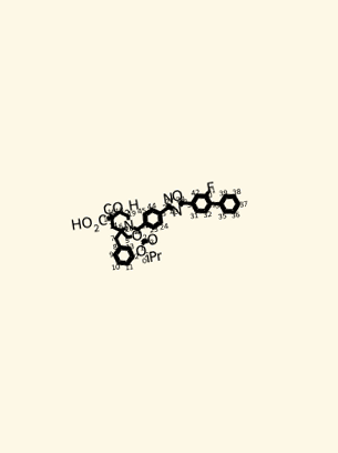 CC(C)OC(=O)OCC1(Cc2ccccc2)CC(C(=O)O)(C(=O)O)CCN1Cc1ccc(-c2noc(-c3ccc(-c4ccccc4)c(F)c3)n2)cc1